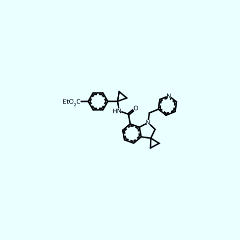 CCOC(=O)c1ccc(C2(NC(=O)c3cccc4c3N(Cc3cccnc3)CC43CC3)CC2)cc1